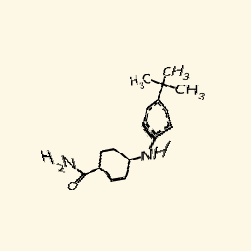 CC(C)(C)c1ccc(NC2CCC(C(N)=O)CC2)cc1